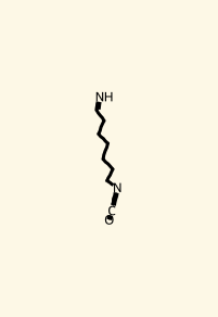 N=CCCCCCCN=C=O